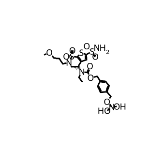 CCN(C(=O)OCc1ccc(CON(O)O)cc1)[C@H]1CN(CCCOC)S(=O)(=O)c2sc(S(N)(=O)=O)cc21